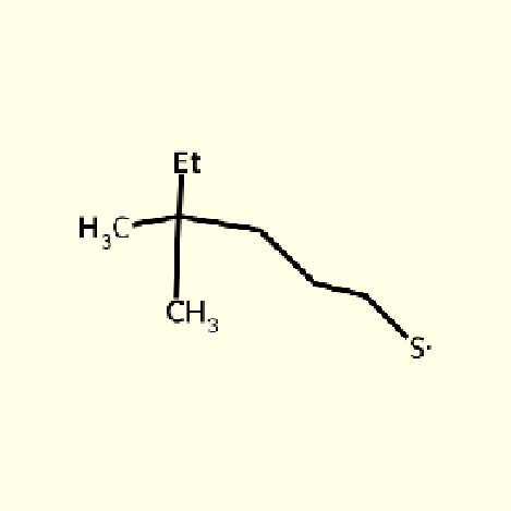 CCC(C)(C)CCC[S]